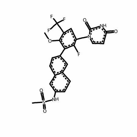 COc1c(C(F)(F)F)cc(-n2ccc(=O)[nH]c2=O)c(F)c1-c1ccc2cc(NS(C)(=O)=O)ccc2c1